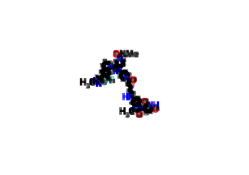 CNC(=O)N1CCc2c(c(N3CCCc4cc(-c5cnn(C)c5)c(C(F)F)cc43)nn2C2CCN(C(=O)CCCCNc3ccc4c(c3)n(C)c(=O)n4C3CCC(=O)NC3=O)CC2)C1